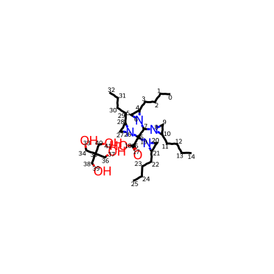 CCCCC1CN1C(N1CC1CCCC)C(C(=O)O)(N1CC1CCCC)N1CC1CCCC.OCC(CO)(CO)CO